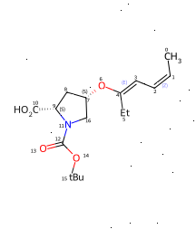 C/C=C\C=C(/CC)O[C@H]1C[C@@H](C(=O)O)N(C(=O)OC(C)(C)C)C1